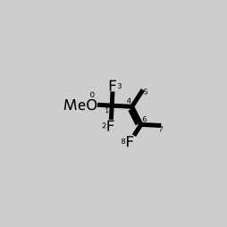 COC(F)(F)/C(C)=C(/C)F